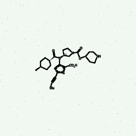 CC(C)(C)C#Cc1cc(N(C(=O)[C@H]2CC[C@H](C)CC2)[C@H]2CCN(C(=O)OC3CCNCC3)C2)c(C(=O)O)s1